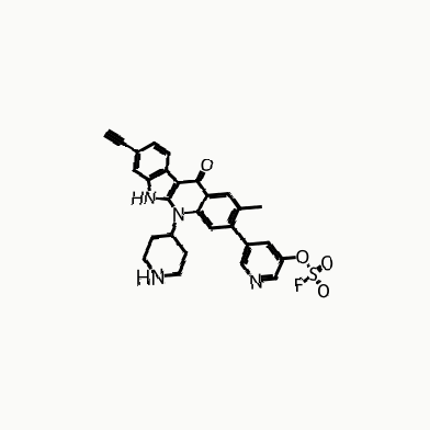 C#Cc1ccc2c(c1)[nH]c1c2c(=O)c2cc(C)c(-c3cncc(OS(=O)(=O)F)c3)cc2n1C1CCNCC1